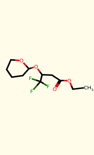 CCOC(=O)CC(OC1CCCCO1)C(F)(F)F